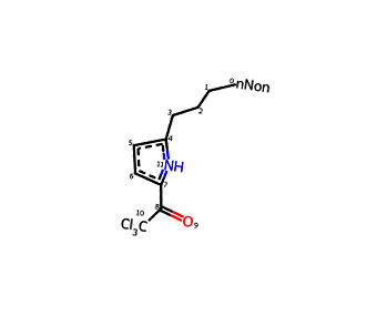 CCCCCCCCCCCCc1ccc(C(=O)C(Cl)(Cl)Cl)[nH]1